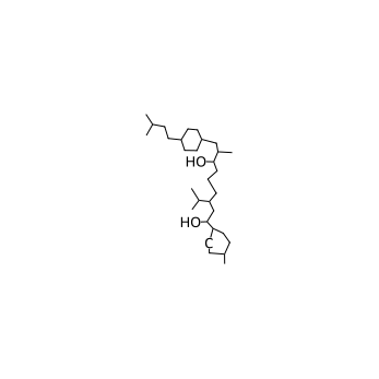 CC(C)CCC1CCC(CC(C)C(O)CCCC(CC(O)C2CCC(C)CC2)C(C)C)CC1